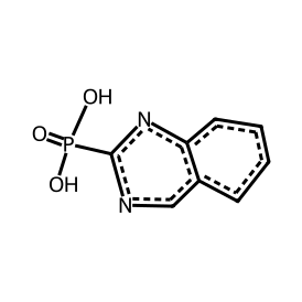 O=P(O)(O)c1ncc2ccccc2n1